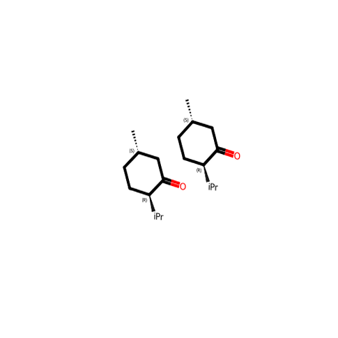 CC(C)[C@H]1CC[C@H](C)CC1=O.CC(C)[C@H]1CC[C@H](C)CC1=O